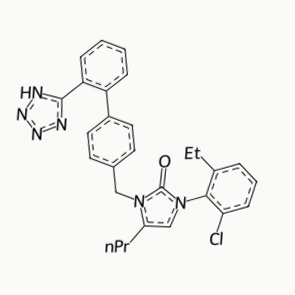 CCCc1cn(-c2c(Cl)cccc2CC)c(=O)n1Cc1ccc(-c2ccccc2-c2nnn[nH]2)cc1